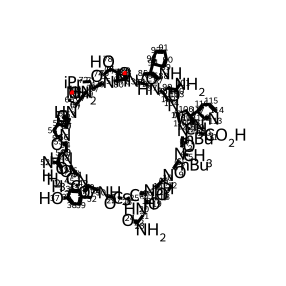 CCCC[C@H]1C(=O)N(C)[C@@H](CCCC)C(=O)N[C@@H](CC(C)C)C(=O)N[C@H](C(=O)NCC(N)=O)CSCC(=O)N[C@@H](Cc2ccc(O)cc2)C(=O)N(C)[C@@H](C)C(=O)N[C@@H](CC(N)=O)C(=O)N2CCC[C@H]2C(=O)N[C@@H](CN)C(=O)N[C@@H](CC(C)C)C(=O)N2C[C@H](O)C[C@H]2C(=O)N[C@@H](Cc2c[nH]c3ccccc23)C(=O)N[C@@H](CCN)C(=O)N[C@@H](Cc2cn(CC(=O)O)c3ncccc23)C(=O)N1C